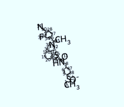 CC[S+]([O-])c1ccc(CNC(=O)c2cc3c(s2)C2(CCC3)CCN(C(C)c3ccc(C#N)c(F)c3)CC2)cc1